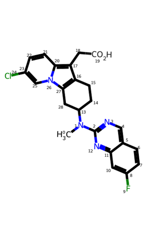 CN(c1ncc2ccc(F)cc2n1)C1CCc2c(CC(=O)O)c3ccc(Cl)cn3c2C1